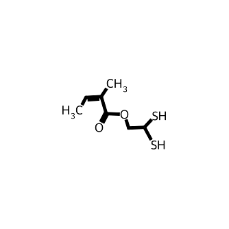 CC=C(C)C(=O)OCC(S)S